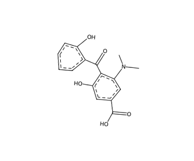 CN(C)c1cc(C(=O)O)cc(O)c1C(=O)c1ccccc1O